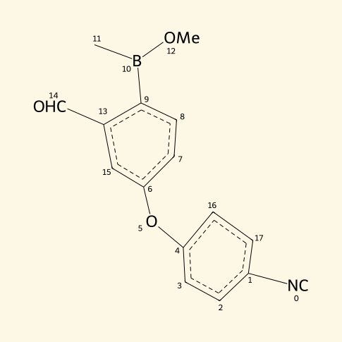 [C-]#[N+]c1ccc(Oc2ccc(B(C)OC)c(C=O)c2)cc1